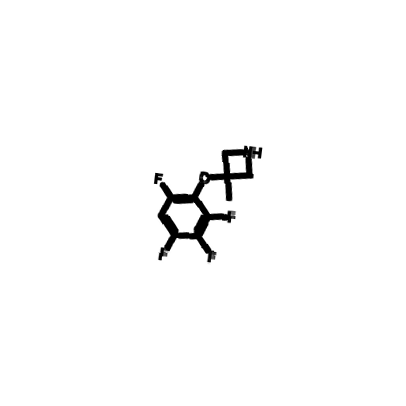 CC1(Oc2c(F)cc(F)c(F)c2F)CNC1